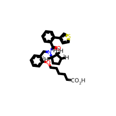 [2H]C1CCC([2H])(N(Cc2ccccc2OCCCCCC(=O)O)C(=O)c2ccccc2-c2ccsc2)C1([2H])[2H]